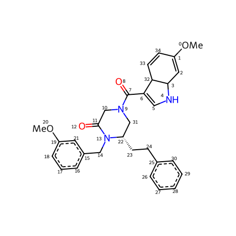 COC1=CC2NC=C(C(=O)N3CC(=O)N(Cc4cccc(OC)c4)[C@@H](CCc4ccccc4)C3)C2C=C1